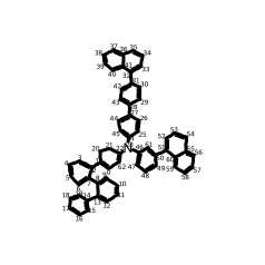 C1=C(c2ccccc2-c2ccccc2-c2ccccc2)CCC(N(c2ccc(-c3ccc(-c4cccc5ccccc45)cc3)cc2)c2cccc(-c3cccc4ccccc34)c2)=C1